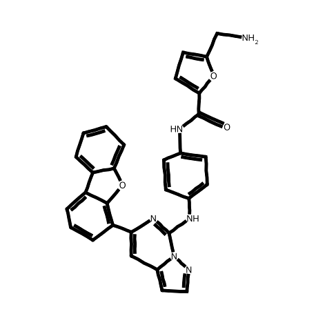 NCc1ccc(C(=O)Nc2ccc(Nc3nc(-c4cccc5c4oc4ccccc45)cc4ccnn34)cc2)o1